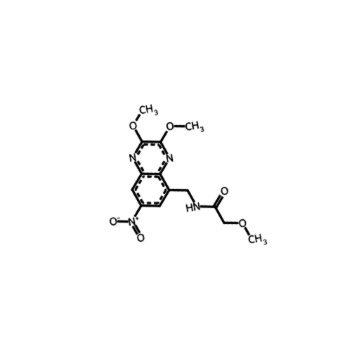 COCC(=O)NCc1cc([N+](=O)[O-])cc2nc(OC)c(OC)nc12